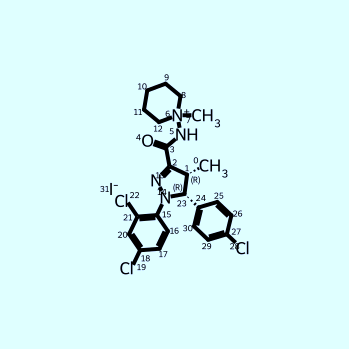 C[C@H]1C(C(=O)N[N+]2(C)CCCCC2)=NN(c2ccc(Cl)cc2Cl)[C@H]1c1ccc(Cl)cc1.[I-]